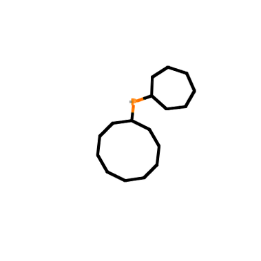 C1CCCCC([P]C2CCCCCC2)CCCC1